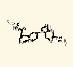 CC(NC(=O)c1cnn2ccc(-c3c[nH]c4nc(NCC(F)(F)F)ncc34)cc12)C(F)(F)F